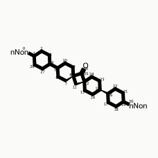 CCCCCCCCCC1CCC(C2CC[C@]3(CC2)C[C@@]2(CC[C@H](C4CCC(CCCCCCCCC)CC4)CC2)C3=O)CC1